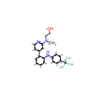 CN(CCO)c1cc(-c2ccccc2Nc2ccc(C(F)(F)F)cc2)ccn1